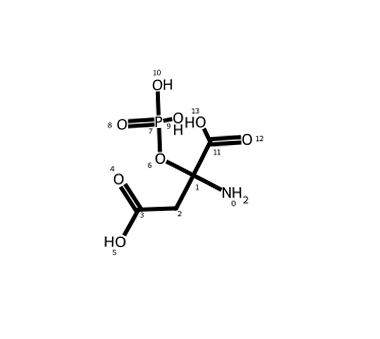 NC(CC(=O)O)(OP(=O)(O)O)C(=O)O